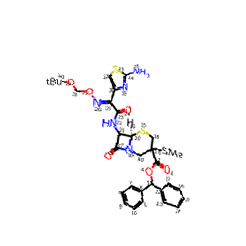 CSC1(C(=O)OC(c2ccccc2)c2ccccc2)CS[C@@H]2C(NC(=O)C(=NOCOC(C)(C)C)c3csc(N)n3)C(=O)N2C1